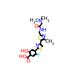 Cc1nc(CNC(=O)CN(C)C)sc1-c1csc(-c2cc(O)c(C(=O)O)cc2F)n1